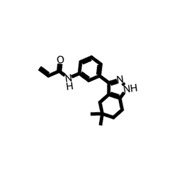 C=CC(=O)Nc1cccc(-c2n[nH]c3c2CC(C)(C)CC3)c1